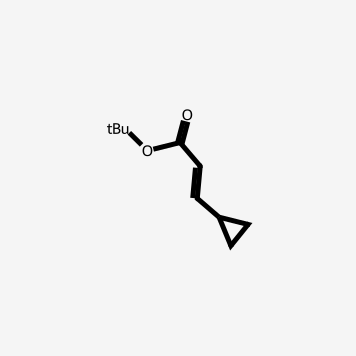 CC(C)(C)OC(=O)C=CC1CC1